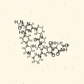 CN1CCN([C@@H]2CCCN(c3cnc(C(N)=O)c(Nc4ccc(C5CCN(C[C@H]6CCCN(c7ccc8c(c7)C(=O)N(C7CCC(=O)NC7=O)C8O)C6)CC5)cc4)n3)C2)C1=O